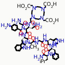 CC(C)C[C@H](NC(=O)[C@H](Cc1ccccc1)NC(=O)[C@H](Cc1c[nH]cn1)NC(=O)CNC(=O)[C@H](C)NC(=O)[C@H](Cc1c[nH]c2ccccc12)NC(=O)[C@H]([C@@H](CC(N)=O)NC(=O)CN1CCN(CC(=O)O)CCN(CC(=O)O)CCN(CC(=O)O)CC1)N(C(=O)CN)C(=O)c1ccc(N)cc1)C(N)=O